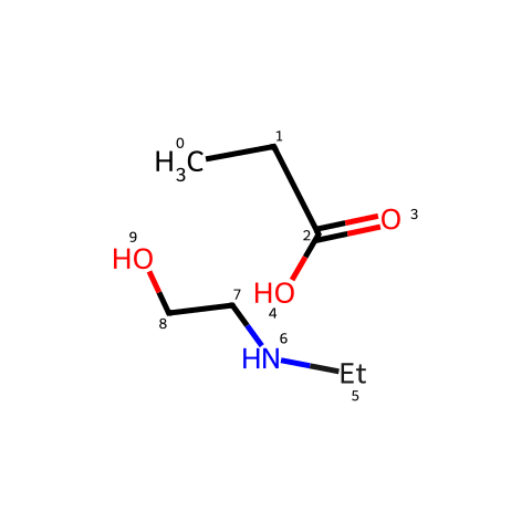 CCC(=O)O.CCNCCO